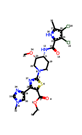 CCOC(=O)c1sc(N2CC[C@@H](NC(=O)c3[nH]c(C)c(Cl)c3Cl)[C@@H](OC)C2)nc1-c1cn(C)cn1